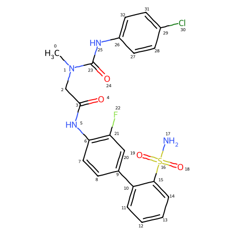 CN(CC(=O)Nc1ccc(-c2ccccc2S(N)(=O)=O)cc1F)C(=O)Nc1ccc(Cl)cc1